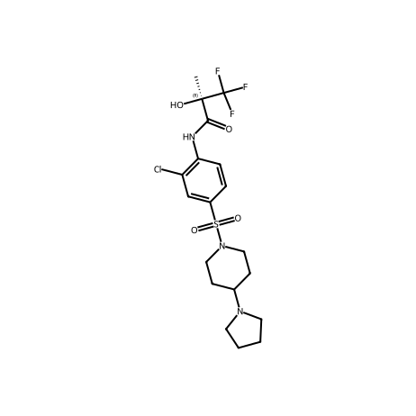 C[C@@](O)(C(=O)Nc1ccc(S(=O)(=O)N2CCC(N3CCCC3)CC2)cc1Cl)C(F)(F)F